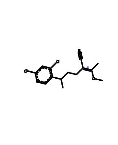 CO/C(C)=C(/C#N)CCC(C)c1ccc(Cl)cc1Cl